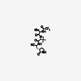 CC(C)(C)C(NC(=O)C(F)(F)F)C(=O)N1CC(C)(C)[C@H]1C(=O)NC(C#N)C[C@@H]1CCNC1=O